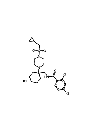 Cl.O=C(NCC1(N2CCN(S(=O)(=O)CC3CC3)CC2)CCCCC1)c1ccc(Cl)cc1Cl